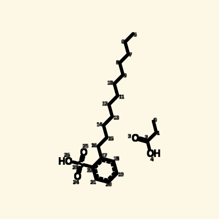 CCC(=O)O.CCCCCCCCCCCCc1ccccc1S(=O)(=O)O